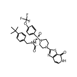 CC(C)(C)c1ccc(CNC(=O)[C@H]2CN(c3nc4cc[nH]c(=O)c4s3)CCN2S(=O)(=O)c2ccc(OC(F)(F)F)cc2)cc1